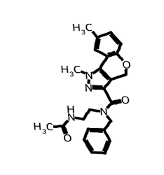 CC(=O)NCCN(Cc1ccccc1)C(=O)c1nn(C)c2c1COc1ccc(C)cc1-2